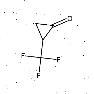 O=C1[CH]C1C(F)(F)F